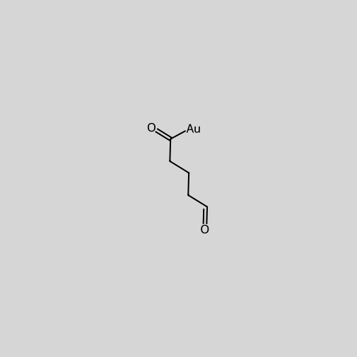 O=CCCC[C](=O)[Au]